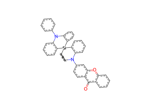 O=c1c2ccccc2oc2cc(N3c4ccccc4[Si]4(c5ccccc5N(c5ccccc5)c5ccccc54)c4ccccc43)ccc12